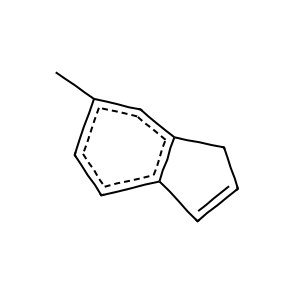 Cc1ccc2c(c1)CC=C2